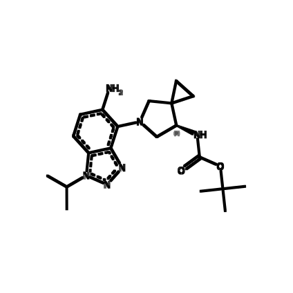 CC(C)n1nnc2c(N3C[C@H](NC(=O)OC(C)(C)C)C4(CC4)C3)c(N)ccc21